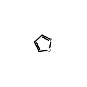 c1copc1